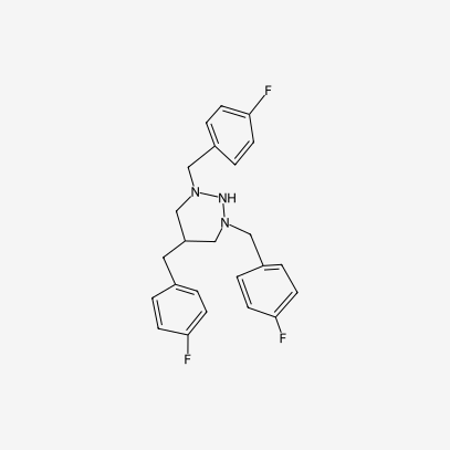 Fc1ccc(CC2CN(Cc3ccc(F)cc3)NN(Cc3ccc(F)cc3)C2)cc1